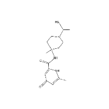 Cc1cc(=O)cc(C(=O)NC2(C)CCN(C(C)S)CC2)[nH]1